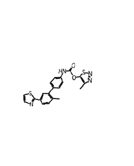 Cc1ccc(-c2nccs2)cc1-c1ccc(NC(=O)Oc2snnc2C)cc1